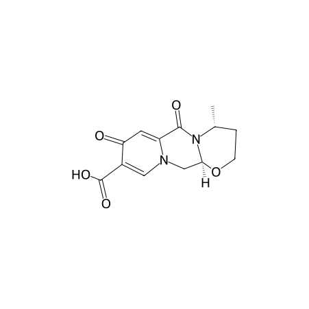 C[C@@H]1CCO[C@H]2Cn3cc(C(=O)O)c(=O)cc3C(=O)N12